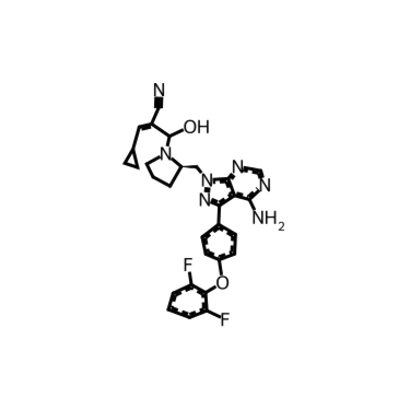 N#C/C(=C/C1CC1)C(O)N1CCC[C@@H]1Cn1nc(-c2ccc(Oc3c(F)cccc3F)cc2)c2c(N)ncnc21